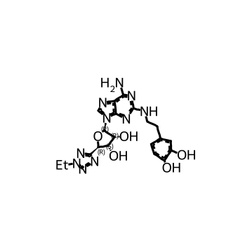 CCn1nnc([C@H]2O[C@@H](n3cnc4c(N)nc(NCCc5ccc(O)c(O)c5)nc43)[C@H](O)[C@@H]2O)n1